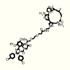 C=C1/C=C(F)\C=C/CC(=O)N(C)Cc2nn(CCNC(=O)CCOCCOCCN3CCN(C(=O)N4C(c5ccc(OC)cc5OC(C)C)=N[C@@H](c5ccc(Cl)cc5)[C@H]4c4ccc(Cl)cc4)CC3=O)cc2-c2cnc(N)c(c2)N2CCC[C@H]12